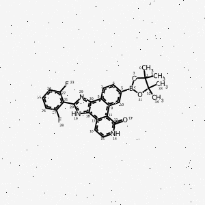 CC1(C)OB(c2ccc3c(c2)c2c(=O)[nH]ccc2c2[nH]c(-c4c(F)cccc4F)nc32)OC1(C)C